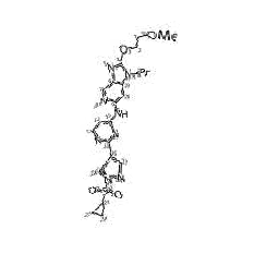 COCCOc1nc2cnc(Nc3ccnc(-c4cnn(S(=O)(=O)C5CC5)c4)n3)cc2n1C(C)C